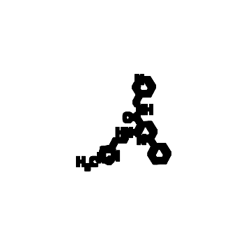 Cn1cnc(CCNc2nc(-c3ccccc3)ccc2C(=O)NCc2cccnc2)c1